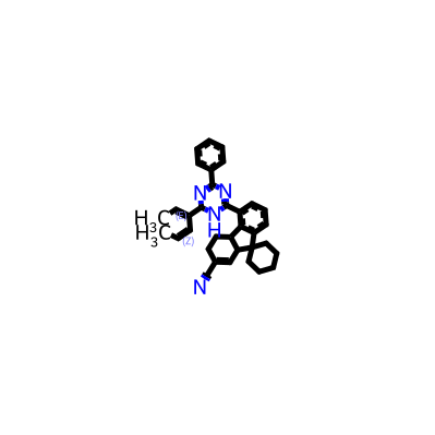 C/C=C\C(=C/C)C1N=C(c2ccccc2)N=C(c2cccc3c2C2CCC(C#N)=CC2C32CCCCC2)N1